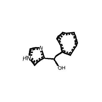 OC(c1ccccc1)c1c[nH]cn1